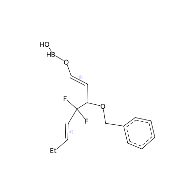 CC/C=C/C(F)(F)C(/C=C/OBO)OCc1ccccc1